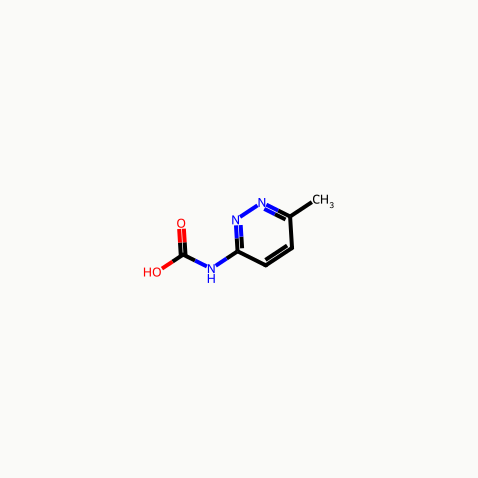 Cc1ccc(NC(=O)O)nn1